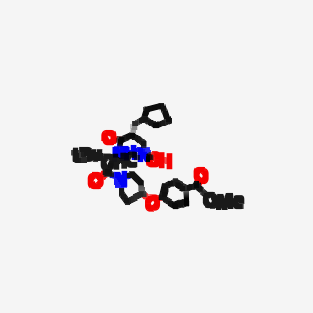 COC(=O)c1ccc(OC2CCN(C(=O)[C@@H](NC(=O)[C@H](CC3CCCC3)CN(O)C=O)C(C)(C)C)CC2)cc1